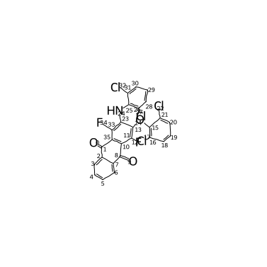 O=C1c2ccccc2C(=O)c2c(F)c(Oc3c(Cl)cccc3Cl)c(Nc3c(Cl)cccc3Cl)c(F)c21